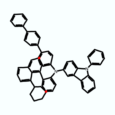 c1ccc(-c2ccc(-c3ccc(N(c4ccc5c(c4)c4ccccc4n5-c4ccccc4)c4ccccc4-c4cccc5cccc(C6CCCCC6)c45)cc3)cc2)cc1